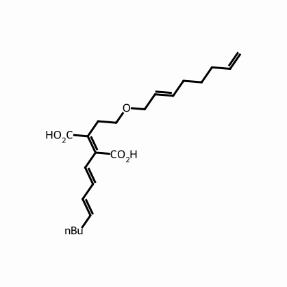 C=CCCCC=CCOCC/C(C(=O)O)=C(/C=CC=CCCCC)C(=O)O